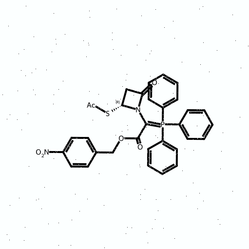 CC(=O)S[C@@H]1CC(=O)N1C(C(=O)OCc1ccc([N+](=O)[O-])cc1)=P(c1ccccc1)(c1ccccc1)c1ccccc1